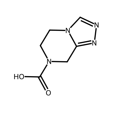 O=C(O)N1CCn2cnnc2C1